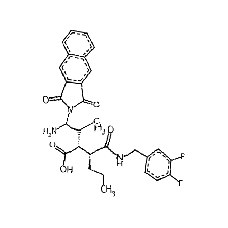 CCC[C@H](C(=O)NCc1ccc(F)c(F)c1)[C@H](C(=O)O)C(C)C(N)N1C(=O)c2cc3ccccc3cc2C1=O